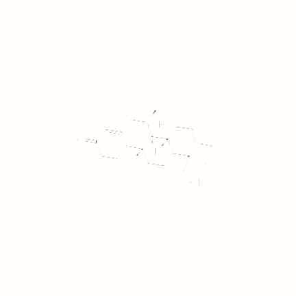 C[C@@H]1CC2=CC(=O)CC[C@@H]2[C@H]2CC[C@@]3(C)[C@@H](CC=C(Cl)C3(O)CO)[C@@H]21